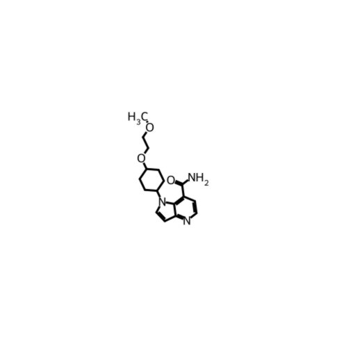 COCCOC1CCC(n2ccc3nccc(C(N)=O)c32)CC1